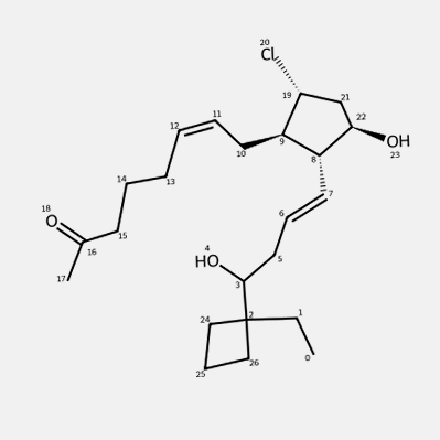 CCC1(C(O)C/C=C/[C@@H]2[C@@H](C/C=C\CCCC(C)=O)[C@H](Cl)C[C@H]2O)CCC1